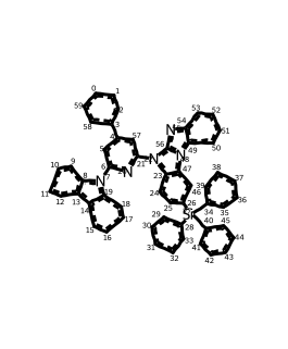 c1ccc(-c2cc(-n3c4ccccc4c4ccccc43)nc(-n3c4ccc([Si](c5ccccc5)(c5ccccc5)c5ccccc5)cc4n4c5ccccc5nc34)c2)cc1